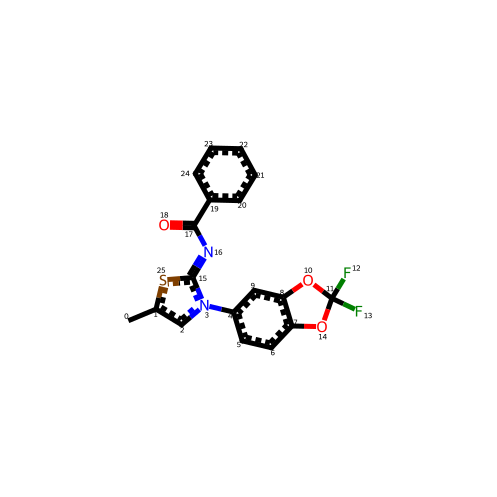 Cc1cn(-c2ccc3c(c2)OC(F)(F)O3)c(=NC(=O)c2ccccc2)s1